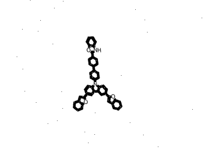 C1=CC2NC(C3CCC(C4CC=C(N5C6C=CC(C7CC8CCCCC8O7)=CC6C6CC(C7=CC8CCCCC8O7)C=CC65)CC4)CC3)OC2C=C1